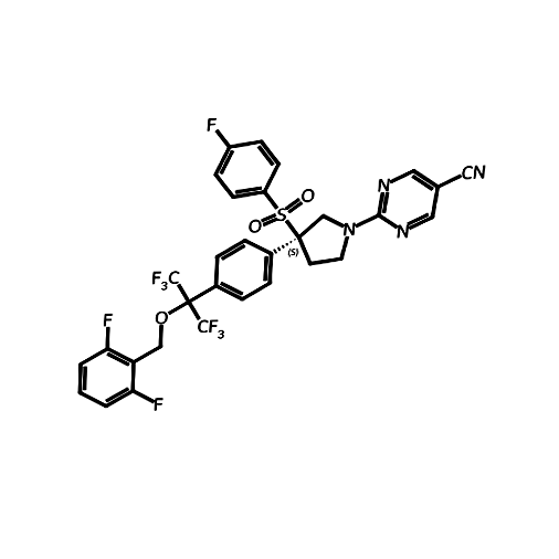 N#Cc1cnc(N2CC[C@@](c3ccc(C(OCc4c(F)cccc4F)(C(F)(F)F)C(F)(F)F)cc3)(S(=O)(=O)c3ccc(F)cc3)C2)nc1